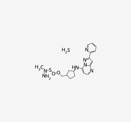 CN(N)SOOCC1CC[C@H](Nc2ccnc3cc(-c4ccccn4)nn23)C1.S